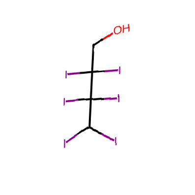 OCC(I)(I)C(I)(I)C(I)I